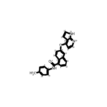 Cc1ccc(NC(=O)c2cccc3cc(Oc4ccnc5[nH]ccc45)ccc23)cc1